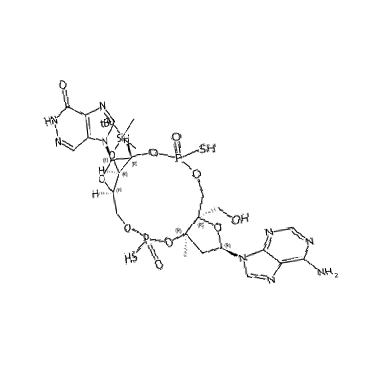 CC(C)(C)[Si](C)(C)O[C@H]1[C@H]2OP(=O)(S)OC[C@@]3(CO)O[C@@H](n4cnc5c(N)ncnc54)C[C@@]3(C)OP(=O)(S)OC[C@H]1O[C@H]2n1cnc2c(=O)[nH]ncc21